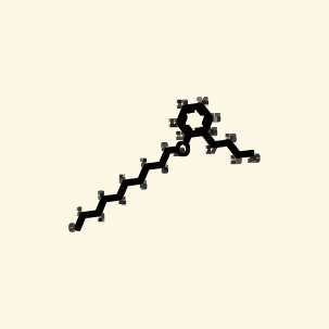 CCCCCCCCCCOc1ccccc1CCCC